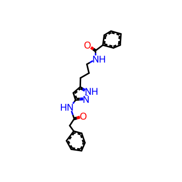 O=C(Cc1ccccc1)Nc1cc(CCCNC(=O)c2ccccc2)[nH]n1